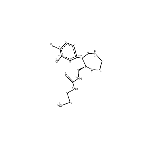 O=C(NCCO)NC[C@@H]1OCCNC[C@@H]1c1ccc(Cl)c(Cl)c1